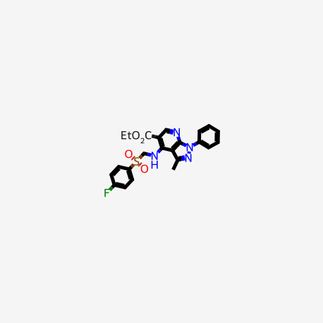 CCOC(=O)c1cnc2c(c(C)nn2-c2ccccc2)c1NCS(=O)(=O)c1ccc(F)cc1